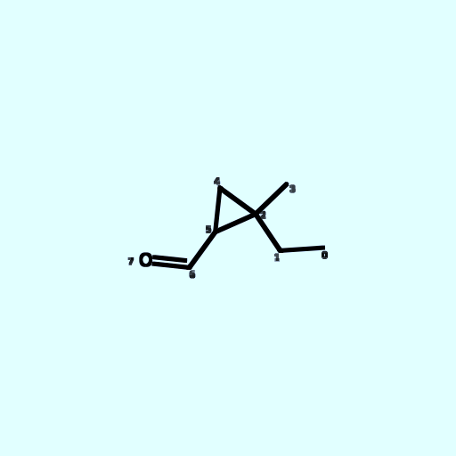 CCC1(C)CC1C=O